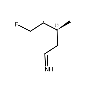 C[C@H]([CH]CF)CC=N